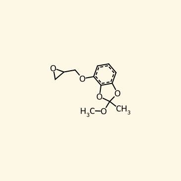 COC1(C)Oc2cccc(OCC3CO3)c2O1